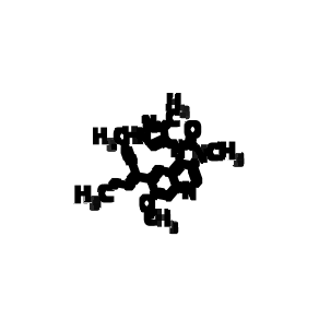 CC#C/C(=C\CC)c1cc2c(cc1OC)ncc1c2n(-c2c[nH]nc2C)c(=O)n1C